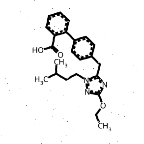 CCOc1nc(Cc2ccc(-c3ccccc3C(=O)O)cc2)n(CCC(C)C)n1